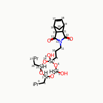 CC(C)C[SiH]1O[SiH](O)O[Si](O)(CCCN2C(=O)C3C4C=CC(C4)C3C2=O)O[SiH](CC(C)C)O1